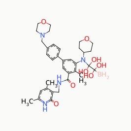 BC(O)(O)C(O)(O)N(c1cc(-c2ccc(CN3CCOCC3)cc2)cc(C(=O)NCc2c(C)cc(C)[nH]c2=O)c1C)C1CCOCC1